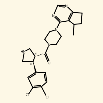 CC1CCc2ncnc(N3CCN(C(=O)[C@H]4CNC[C@@H]4c4ccc(Cl)c(Cl)c4)CC3)c21